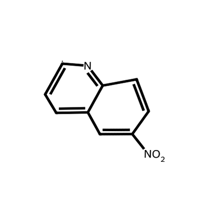 O=[N+]([O-])c1ccc2n[c]ccc2c1